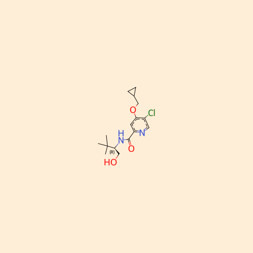 CC(C)(C)[C@H](CO)NC(=O)c1cc(OCC2CC2)c(Cl)cn1